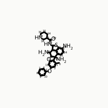 Cc1cc(Oc2ccccc2)ccc1C1(N)C(=O)C(N)C2c3c1ccc(N)c3SC2NC(=O)C1CCCNC1